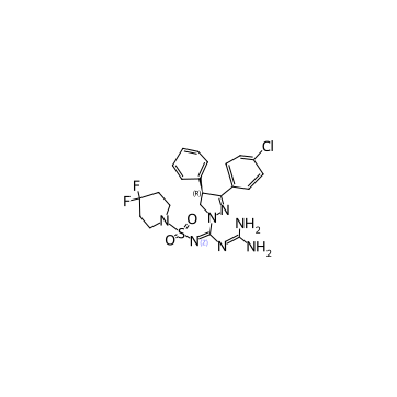 NC(N)=N/C(=N/S(=O)(=O)N1CCC(F)(F)CC1)N1C[C@@H](c2ccccc2)C(c2ccc(Cl)cc2)=N1